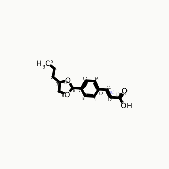 CCCC1COC(c2ccc(/C=C/C(=O)O)cc2)O1